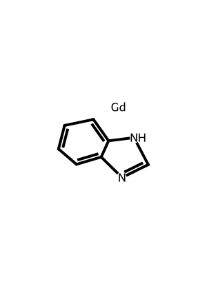 [Gd].c1ccc2[nH]cnc2c1